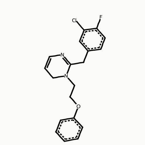 Fc1ccc(CC2=NC=CCN2CCOc2ccccc2)cc1Cl